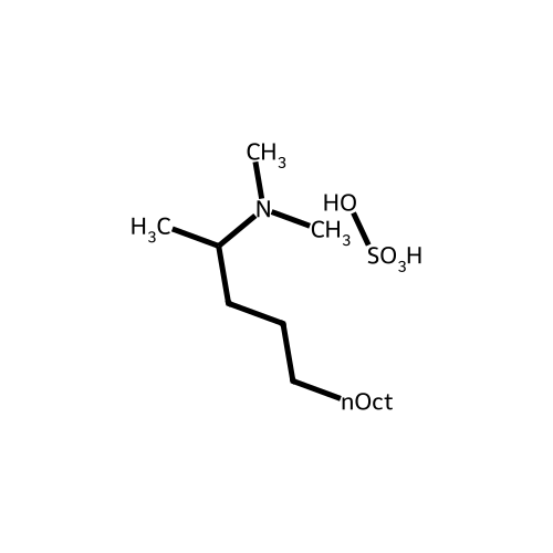 CCCCCCCCCCCC(C)N(C)C.O=S(=O)(O)O